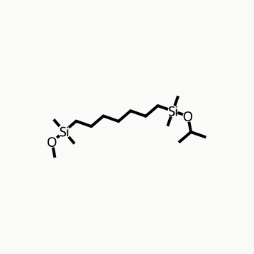 CO[Si](C)(C)CCCCCCC[Si](C)(C)OC(C)C